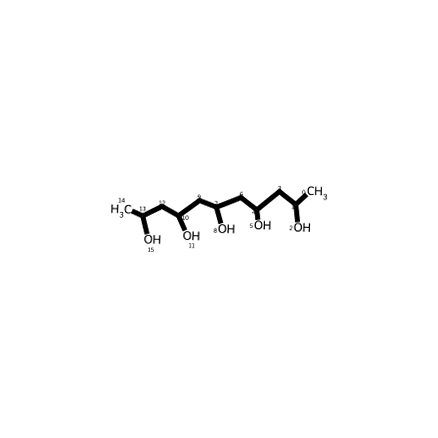 CC(O)CC(O)CC(O)CC(O)CC(C)O